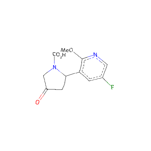 COc1ncc(F)cc1C1CC(=O)CN1C(=O)O